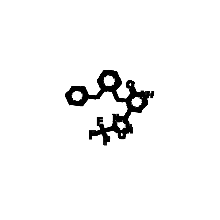 O=c1[nH]ccc(-c2noc(C(F)(F)F)n2)c1Cc1ccccc1Cc1ccccc1